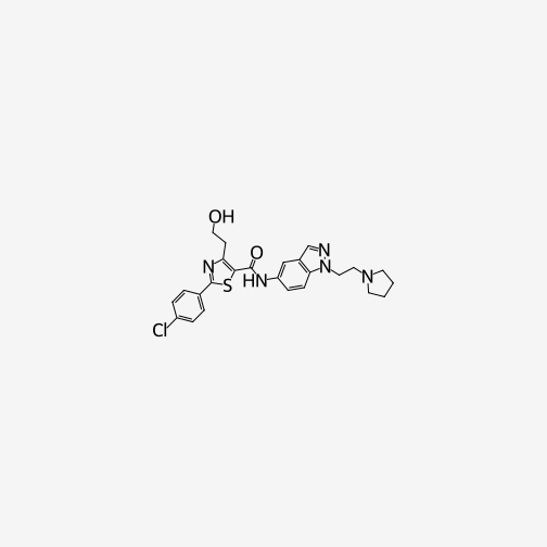 O=C(Nc1ccc2c(cnn2CCN2CCCC2)c1)c1sc(-c2ccc(Cl)cc2)nc1CCO